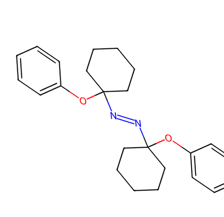 c1ccc(OC2(N=NC3(Oc4ccccc4)CCCCC3)CCCCC2)cc1